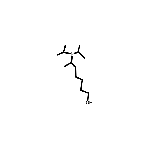 CC(C)N(C(C)C)C(C)CCCCCO